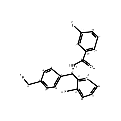 O=C(N[C@@H](c1ccc(CF)cc1)c1ncccc1F)c1cccc(F)c1